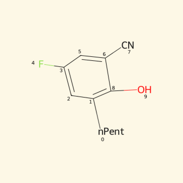 CCCCCc1cc(F)cc(C#N)c1O